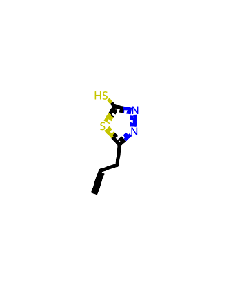 C=CCc1nnc(S)s1